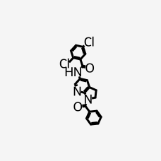 O=C(Nc1cnc2c(c1)CCN2C(=O)c1ccccc1)c1cc(Cl)ccc1Cl